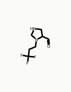 O=CC1CNCN1CCC(F)(F)F